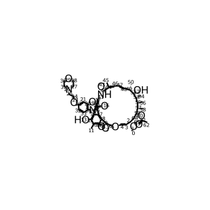 CO[C@H]1/C=C/O[C@@]2(C)Oc3c(C)c(O)c4c(=O)c(c5oc6cc(OCCN7CCOCC7)ccc6nc-5c4c3C2=O)NC(=O)/C(C)=C\C=C\[C@H](C)[C@H](O)[C@@H](C)[C@@H](C)[C@@H](C)[C@H](OC(C)=O)[C@@H]1C